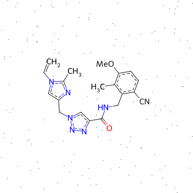 C=Cn1cc(Cn2cc(C(=O)NCc3c(C#N)ccc(OC)c3C)nn2)nc1C